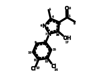 CC(=O)c1c(C)nn(-c2ccc(Cl)c(Cl)c2)c1O